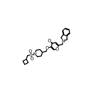 O=c1cc(CN2Cc3ccccc3C2)occ1OCC1CCN(S(=O)(=O)CC2CCC2)CC1